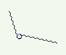 CCCCCCCCCCCCCCCCc1ccc[n+](CCCCCCCCCCC)c1